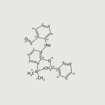 C[Si](C)(C)c1cccc(Pc2ccccc2C=O)c1OCc1ccccc1